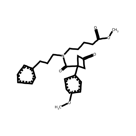 COC(=O)CCCCN(CCCc1ccccc1)C(=O)C1(c2ccc(OC)cc2)CC(=O)C1